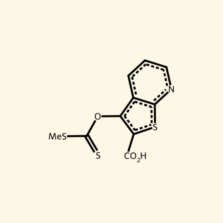 CSC(=S)Oc1c(C(=O)O)sc2ncccc12